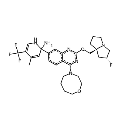 CC1=CC(N)(c2ccc3c(N4CCCCOCC4)nc(OC[C@@]45CCCN4C[C@H](F)C5)nc3c2)NC=C1C(F)(F)F